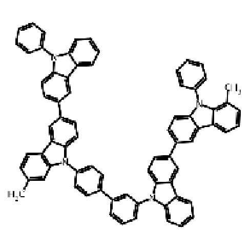 Cc1ccc2c3cc(-c4ccc5c(c4)c4ccccc4n5-c4ccccc4)ccc3n(-c3ccc(-c4cccc(-n5c6ccccc6c6cc(-c7ccc8c(c7)c7cccc(C)c7n8-c7ccccc7)ccc65)c4)cc3)c2c1